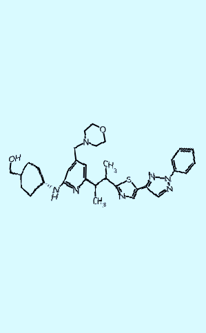 CC(c1cc(CN2CCOCC2)cc(N[C@H]2CC[C@H](CO)CC2)n1)C(C)c1ncc(-c2cnn(-c3ccccc3)n2)s1